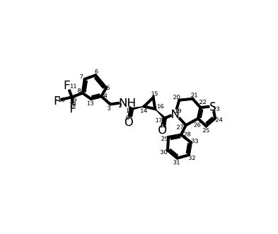 O=C(NCc1cccc(C(F)(F)F)c1)[C@H]1C[C@H]1C(=O)N1CCc2sccc2C1c1ccccc1